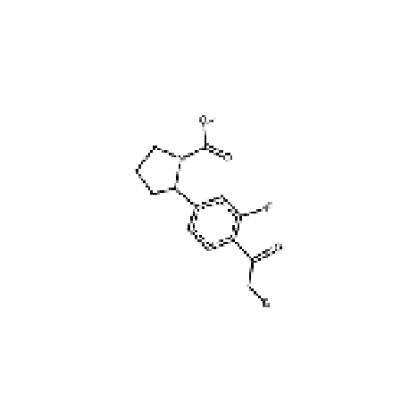 O=C(CBr)c1ccc(C2CCCN2C(=O)O)cc1F